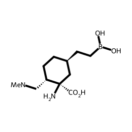 CNC[C@@H]1CC[C@@H](CCB(O)O)C[C@]1(N)C(=O)O